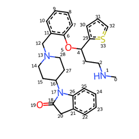 CNCCC(Oc1ccccc1CN1CCC(N2C(=O)Cc3ccccc32)CC1)c1cccs1